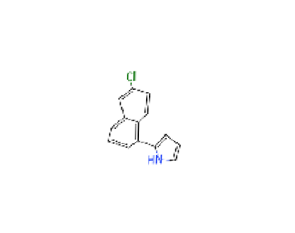 Clc1ccc2c(-c3ccc[nH]3)cccc2c1